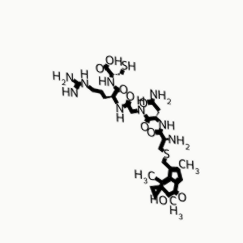 CC1=C(CSC[C@H](N)C(=O)N[C@@H](CC(N)=O)C(=O)NCC(=O)N[C@@H](CCCNC(=N)N)C(=O)N[C@@H](CS)C(=O)O)C2=C(C)C3(CC3)[C@@](C)(O)C(=O)C2=C1